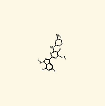 Cc1nc(-c2cn(SI)c3c(F)cc(F)cc23)nc(NC2CCCC(N)C2)c1F